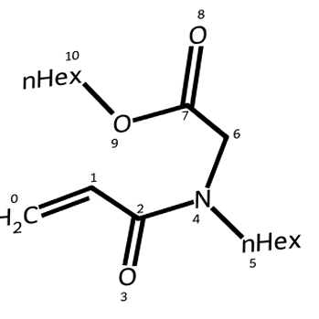 C=CC(=O)N(CCCCCC)CC(=O)OCCCCCC